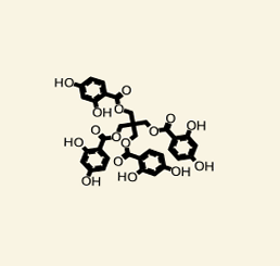 O=C(OCC(COC(=O)c1ccc(O)cc1O)(COC(=O)c1ccc(O)cc1O)COC(=O)c1ccc(O)cc1O)c1ccc(O)cc1O